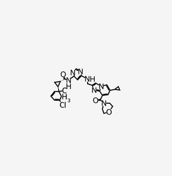 CC1([C@H]2C[C@@H]2C(=O)Nc2cc(NCc3cn4cc(C5CC5)cc(C(=O)N5CCOCC5)c4n3)ncn2)C=CC=C(Cl)C1